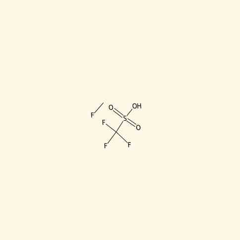 CF.O=S(=O)(O)C(F)(F)F